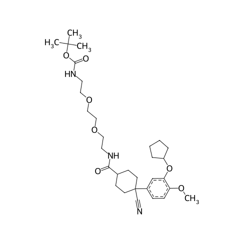 COc1ccc(C2(C#N)CCC(C(=O)NCCOCCOCCNC(=O)OC(C)(C)C)CC2)cc1OC1CCCC1